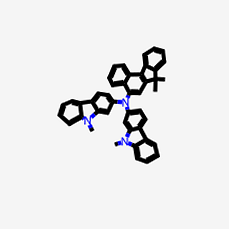 Cn1c2ccccc2c2ccc(N(c3ccc4c5ccccc5n(C)c4c3)c3cc4c(c5ccccc35)-c3ccccc3C4(C)C)cc21